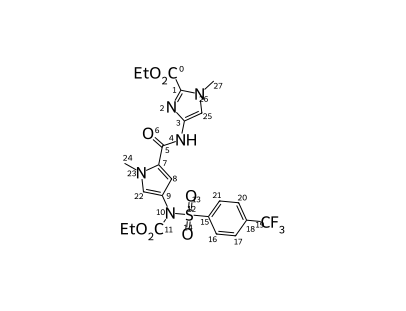 CCOC(=O)c1nc(NC(=O)c2cc(N(C(=O)OCC)S(=O)(=O)c3ccc(C(F)(F)F)cc3)cn2C)cn1C